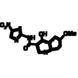 COc1ccc2ncc(C(=O)Nc3ncc([N+](=O)[O-])s3)c(O)c2c1